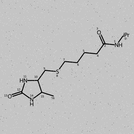 CC(C)NC(=O)CCCCSCC1NC(=O)NC1C